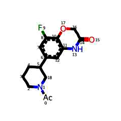 CC(=O)N1CCCC(c2cc(F)c3c(c2)NC(=O)CO3)C1